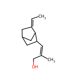 CC=C1CC2CC(C=C(C)CO)C1C2